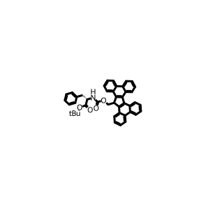 CC(C)(C)OC(=O)[C@H](Cc1ccccc1)NC(=O)OCC1c2c(c3ccccc3c3ccccc23)-c2c1c1ccccc1c1ccccc21